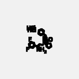 Cl.Cl.N[C@@H](CCNC1(C(=O)OCc2ccccc2)CCCC1)c1cc(F)cc(F)c1